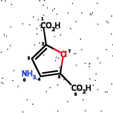 N.O=C(O)c1ccc(C(=O)O)o1